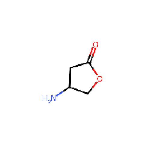 NC1COC(=O)C1